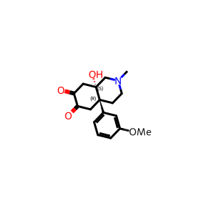 COc1cccc([C@]23CCN(C)C[C@]2(O)CC(=O)C(=O)C3)c1